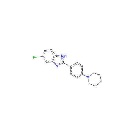 Fc1ccc2[nH]c(-c3ccc(N4CCCCC4)cc3)nc2c1